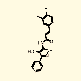 Cc1c(-c2ccncc2)n[nH]c1NC(=O)C=Cc1ccc(F)c(F)c1